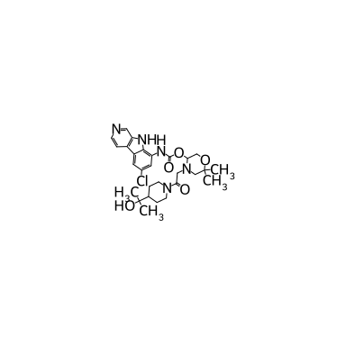 CC1(C)CN(CC(=O)N2CCC(C(C)(C)O)CC2)C(OC(=O)Nc2cc(Cl)cc3c2[nH]c2cnccc23)CO1